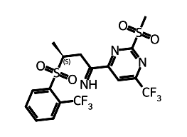 C[C@@H](CC(=N)c1cc(C(F)(F)F)nc(S(C)(=O)=O)n1)S(=O)(=O)c1ccccc1C(F)(F)F